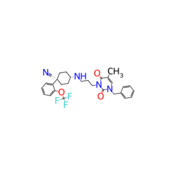 Cc1cn(Cc2ccccc2)c(=O)n(CCCN[C@H]2CC[C@](C#N)(c3ccccc3OC(F)(F)F)CC2)c1=O